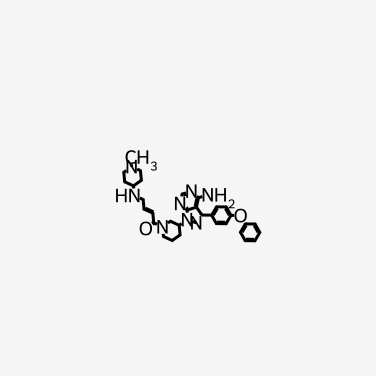 CN1CCC(NCC=CC(=O)N2CCCC(n3nc(-c4ccc(Oc5ccccc5)cc4)c4c(N)ncnc43)C2)CC1